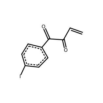 C=CC(=O)C(=O)c1ccc(I)cc1